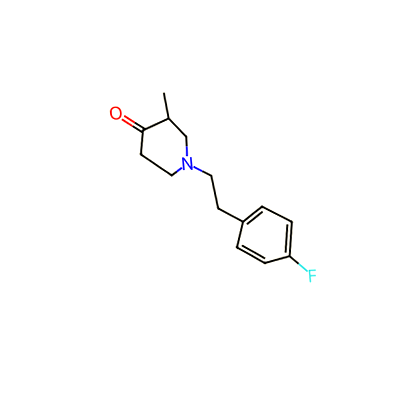 CC1CN(CCc2ccc(F)cc2)CCC1=O